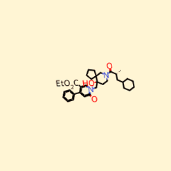 CCOC(=O)c1cn(CC2(O)CCN(C(=O)[C@H](C)CC3CCCCC3)CC23CCCC3)c(=O)cc1-c1ccccc1